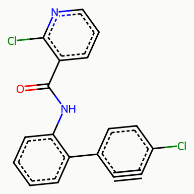 O=C(Nc1ccccc1-c1c#cc(Cl)cc1)c1cccnc1Cl